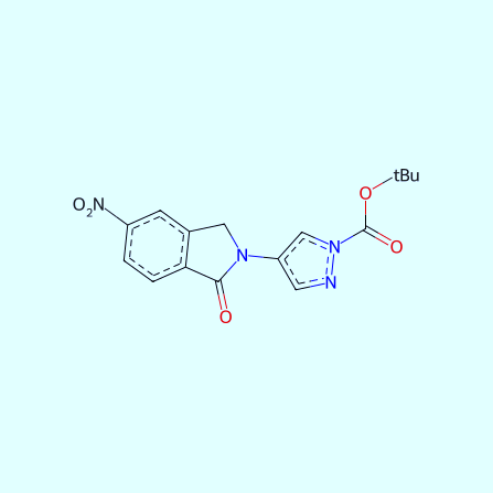 CC(C)(C)OC(=O)n1cc(N2Cc3cc([N+](=O)[O-])ccc3C2=O)cn1